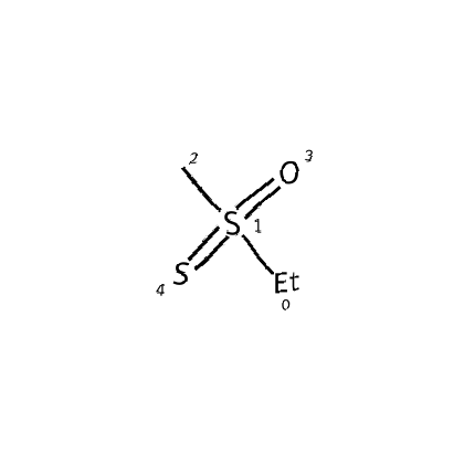 CCS(C)(=O)=S